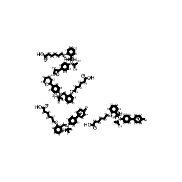 [2H]C(C)(C)N(Cc1ccccc1OCCCCCC(=O)O)c1ccc(C23CCC(C)(CC2)CC3)cc1.[2H]C(C)(C)N(Cc1ccccc1OCCCCCC(=O)O)c1ccc(C2CCCCO2)cc1.[2H]C([2H])(c1ccccc1OCCCCCC(=O)O)N(c1ccc(C23CCC(C)(CC2)CC3)cc1)C(C)C.[2H]C([2H])(c1ccccc1OCCCCCC(=O)O)N(c1ccc(C2CCO2)cc1)C(C)C